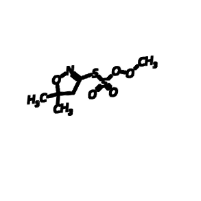 COOS(=O)(=O)SC1=NOC(C)(C)C1